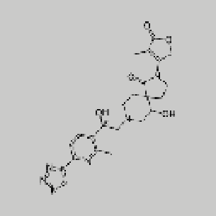 CC1=C(N2CCC3(CCN(C[C@H](O)c4ccc(-n5cnnn5)nc4C)CC3O)C2=O)COC1=O